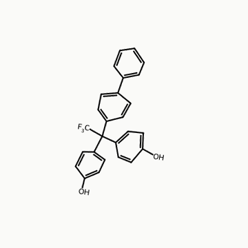 Oc1ccc(C(c2ccc(O)cc2)(c2ccc(-c3ccccc3)cc2)C(F)(F)F)cc1